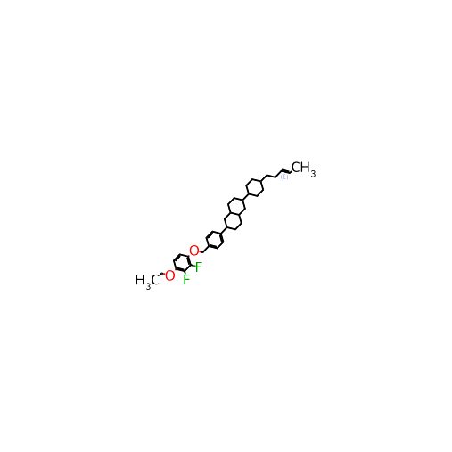 C/C=C/CCC1CCC(C2CCC3CC(c4ccc(COc5ccc(OCC)c(F)c5F)cc4)CCC3C2)CC1